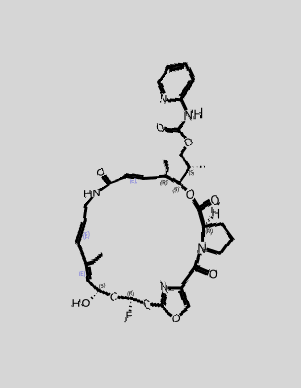 CC1=C\[C@@H](O)C[C@@H](F)Cc2nc(co2)C(=O)N2CCC[C@@H]2C(=O)O[C@H]([C@@H](C)COC(=O)Nc2ccccn2)[C@H](C)/C=C/C(=O)NC\C=C\1